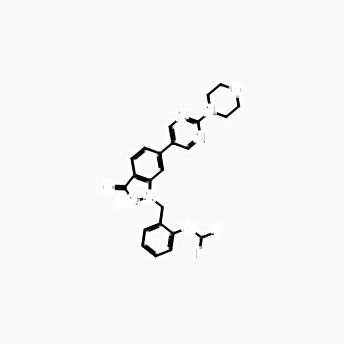 O=c1[nH]n(Cc2ccccc2OC(F)F)c2cc(-c3cnc(N4CCOCC4)nc3)ccc12